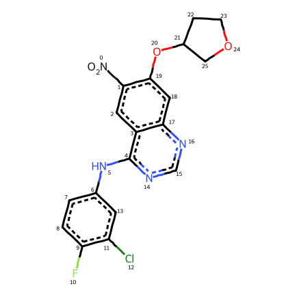 O=[N+]([O-])c1cc2c(Nc3ccc(F)c(Cl)c3)ncnc2cc1OC1CCOC1